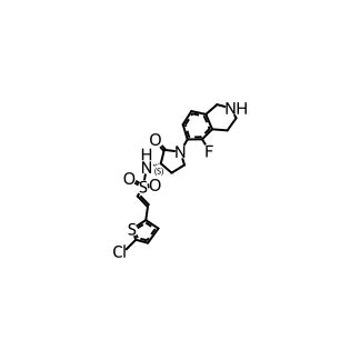 O=C1[C@@H](NS(=O)(=O)C=Cc2ccc(Cl)s2)CCN1c1ccc2c(c1F)CCNC2